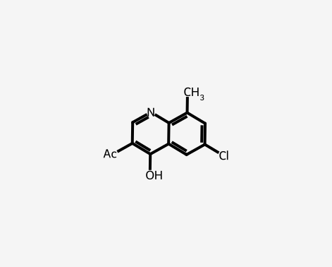 CC(=O)c1cnc2c(C)cc(Cl)cc2c1O